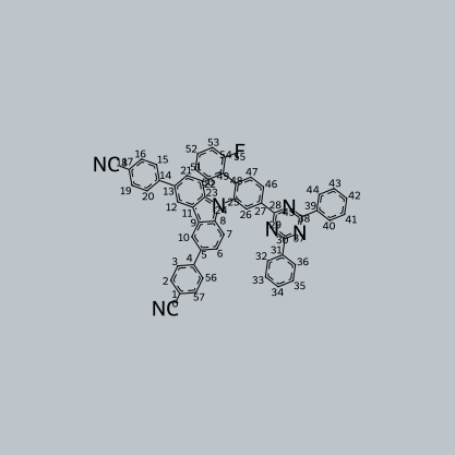 N#Cc1ccc(-c2ccc3c(c2)c2cc(-c4ccc(C#N)cc4)ccc2n3-c2cc(-c3nc(-c4ccccc4)nc(-c4ccccc4)n3)ccc2-c2ccccc2F)cc1